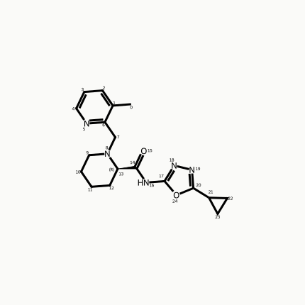 Cc1cccnc1CN1CCCC[C@@H]1C(=O)Nc1nnc(C2CC2)o1